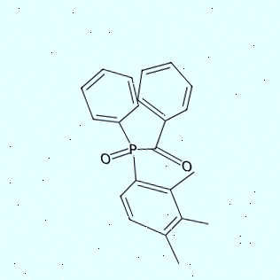 Cc1ccc(P(=O)(C(=O)c2ccccc2)c2ccccc2)c(C)c1C